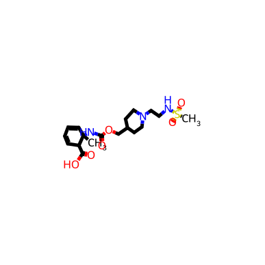 CC1(NC(=O)OCC2CCN(CCNS(C)(=O)=O)CC2)C=CC=CC1C(=O)O